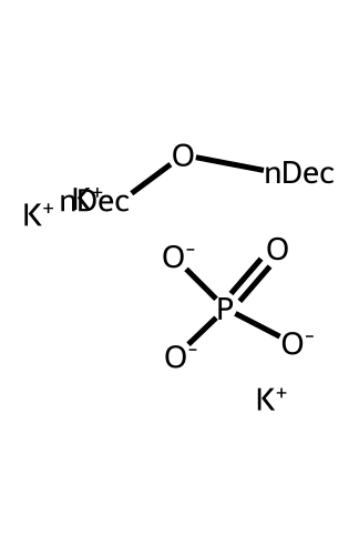 CCCCCCCCCCOCCCCCCCCCC.O=P([O-])([O-])[O-].[K+].[K+].[K+]